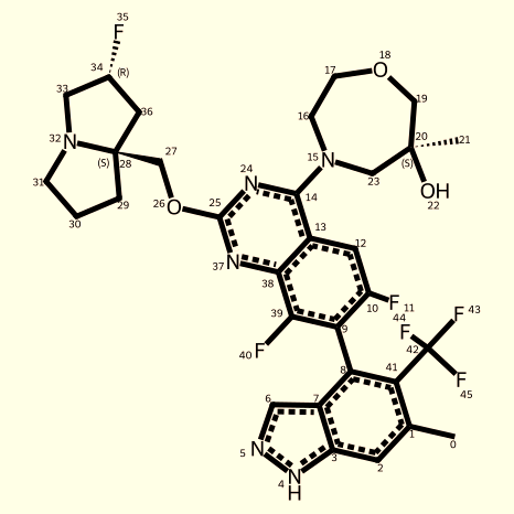 Cc1cc2[nH]ncc2c(-c2c(F)cc3c(N4CCOC[C@@](C)(O)C4)nc(OC[C@@]45CCCN4C[C@H](F)C5)nc3c2F)c1C(F)(F)F